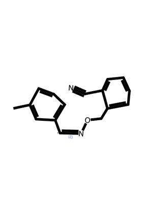 Cc1cccc(/[C]=N\OCc2ccccc2C#N)c1